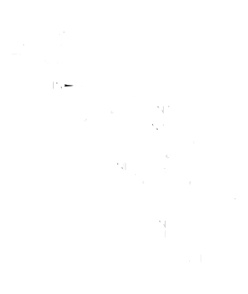 Nc1c2c(nn1C(=O)C1CCNc3c(Cl)cccc31)CC[C@H](NC(=O)O)C2